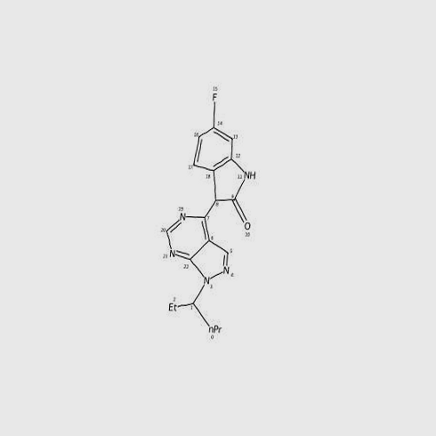 CCCC(CC)n1ncc2c(C3C(=O)Nc4cc(F)ccc43)ncnc21